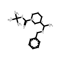 CC(OCc1ccccc1)C1CCCN(C(=O)OC(C)(C)C)C1